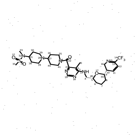 Cc1c(NC[C@H]2CCC[C@@H](C3C=CC(C(F)(F)F)=NC3)O2)ncnc1C(=O)N1CCC(N2CCC(N(C)S(C)(=O)=O)CC2)CC1